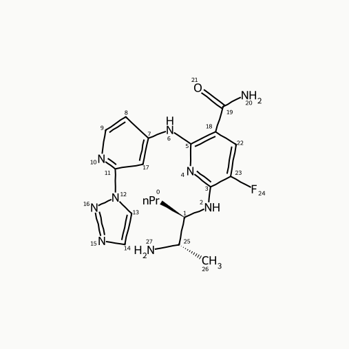 CCC[C@@H](Nc1nc(Nc2ccnc(-n3ccnn3)c2)c(C(N)=O)cc1F)[C@H](C)N